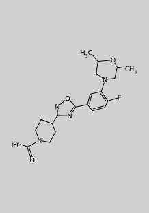 CC1CN(c2cc(-c3nc(C4CCN(C(=O)C(C)C)CC4)no3)ccc2F)CC(C)O1